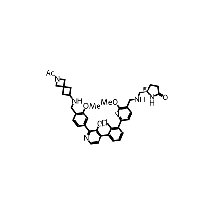 COc1cc(-c2nccc(-c3cccc(-c4ccc(CNC[C@H]5CCC(=O)N5)c(OC)n4)c3Cl)c2Cl)ccc1CNC1CC2(C1)CN(C(C)=O)C2